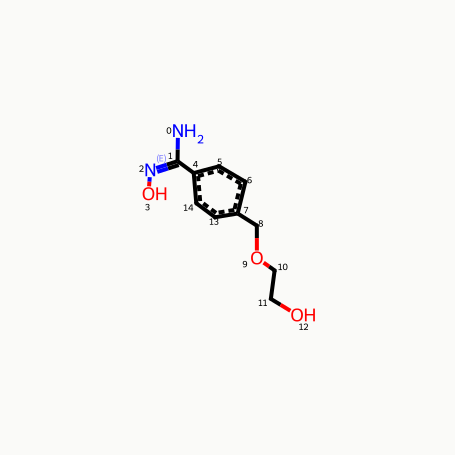 N/C(=N/O)c1ccc(COCCO)cc1